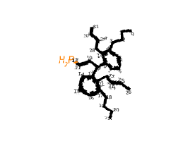 CCCCc1cccc(C(CCP)c2cccc(CCCC)c2CCCC)c1CCCC